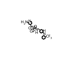 Nc1cc(C(=O)N[C@@]2(C(=O)NCc3ccc(Nc4ccccc4C(F)(F)F)cc3)CCOC2)ccn1